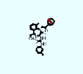 CC(=O)OCC1=N[C@@H](NC(=O)Nc2cccc(C)c2)C(=O)N(CC(=O)N2CC3CCC(CC3)C2)c2c(C)cccc21